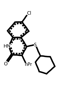 CCCc1c(SC2CCCCC2)c2cc(Cl)ccc2[nH]c1=O